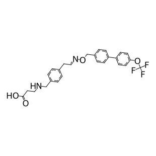 O=C(O)CCNCc1ccc(CC=NOCc2ccc(-c3ccc(OC(F)(F)F)cc3)cc2)cc1